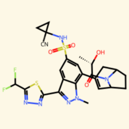 C[C@H](O)C(=O)N1C2C=C(c3cc(S(=O)(=O)NC4(C#N)CC4)cc4c(-c5nnc(C(F)F)s5)nn(C)c34)CC1CC2